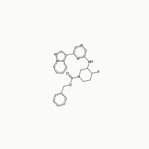 O=C(OCc1ccccc1)N1CCC(F)C(Nc2cncc(-c3cnn4ccccc34)n2)C1